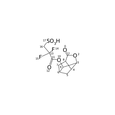 O=C1OC2C3CC(CC13)C2OC(=O)C(F)(F)CS(=O)(=O)O